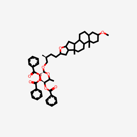 COC1CCC2(C)C(CCC3C2CCC2(C)C4CC(CC[C@H](C)CO[C@@H](COC(=O)c5ccccc5)OC(C)[C@H](COC(=O)c5ccccc5)OC(=O)c5ccccc5)OC4CC32)C1